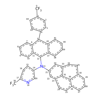 FC(F)(F)c1ccc(-c2c3ccccc3c(N(c3ccc(C(F)(F)F)nc3)c3cc4ccc5cccc6ccc(c3)c4c56)c3ccccc23)cc1